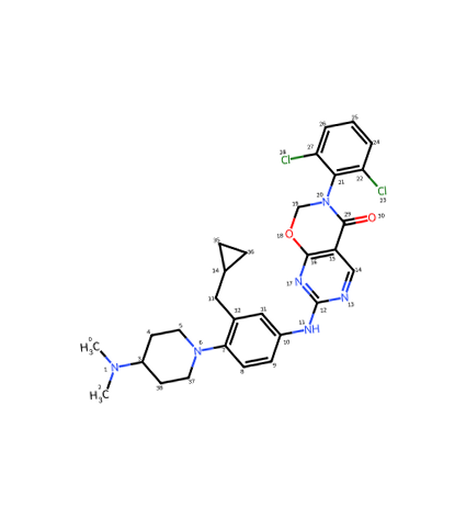 CN(C)C1CCN(c2ccc(Nc3ncc4c(n3)OCN(c3c(Cl)cccc3Cl)C4=O)cc2CC2CC2)CC1